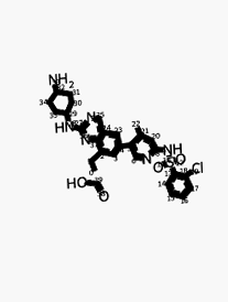 CCc1cc(-c2cnc(NS(=O)(=O)c3ccccc3Cl)cc2C)cc2cnc(NC3CCC(N)CC3)nc12.O=CO